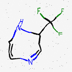 FC(F)(F)C1C=NC=CN1